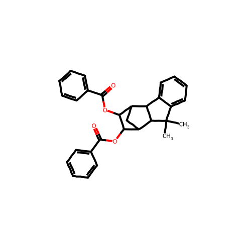 CC1(C)c2ccccc2C2C3CC(C(OC(=O)c4ccccc4)C3OC(=O)c3ccccc3)C21